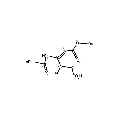 CCCCCCCCCCC(=O)N/C(=N/C(=O)OC(C)(C)C)N(C)CC(=O)O